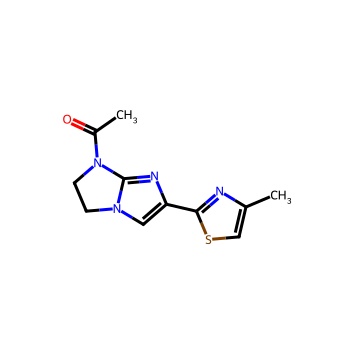 CC(=O)N1CCn2cc(-c3nc(C)cs3)nc21